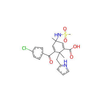 CC1(NS(C)(=O)=O)C=C(C(=O)O)C(C)(Cc2ccc[nH]2)C(C(=O)c2ccc(Cl)cc2)=C1